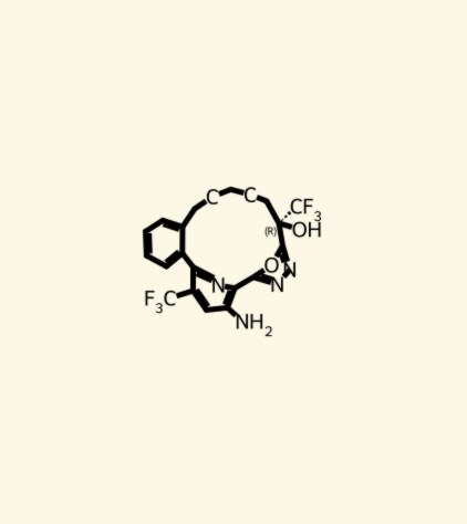 Nc1cc(C(F)(F)F)c2nc1-c1nnc(o1)[C@@](O)(C(F)(F)F)CCCCCc1ccccc1-2